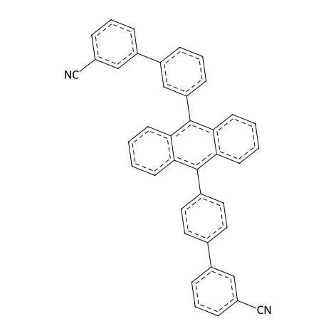 N#Cc1cccc(-c2ccc(-c3c4ccccc4c(-c4cccc(-c5cccc(C#N)c5)c4)c4ccccc34)cc2)c1